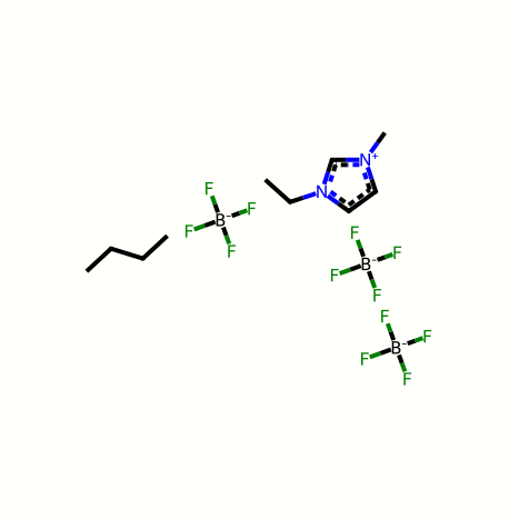 CCCC.CCn1cc[n+](C)c1.F[B-](F)(F)F.F[B-](F)(F)F.F[B-](F)(F)F